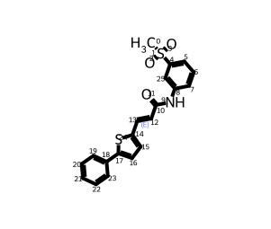 CS(=O)(=O)c1cccc(NC(=O)/C=C/c2ccc(-c3ccccc3)s2)c1